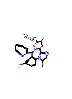 COC(=O)[C@@H](C)C[C@@H]1N=C(c2ccccn2)c2cc(Cl)ccc2-n2c(C)cnc21